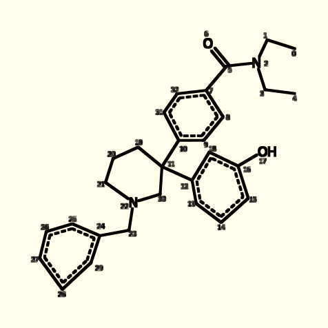 CCN(CC)C(=O)c1ccc(C2(c3cccc(O)c3)CCCN(Cc3ccccc3)C2)cc1